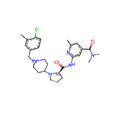 Cc1cc(C(=O)N(C)C)cc(NC(=O)[C@H]2CCCN2C2CCN(Cc3ccc(Cl)c(C)c3)CC2)n1